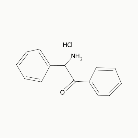 Cl.NC(C(=O)c1ccccc1)c1ccccc1